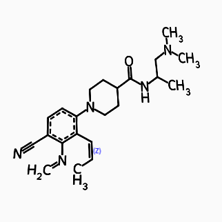 C=Nc1c(C#N)ccc(N2CCC(C(=O)NC(C)CN(C)C)CC2)c1/C=C\C